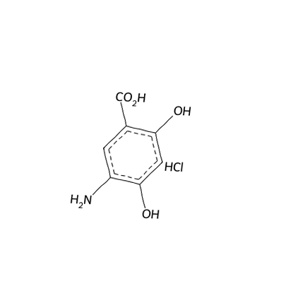 Cl.Nc1cc(C(=O)O)c(O)cc1O